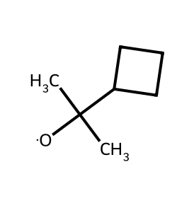 CC(C)([O])C1CCC1